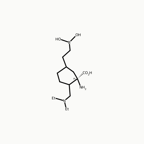 CCN(CC)CC1CCC(CCB(O)O)C[C@]1(N)C(=O)O